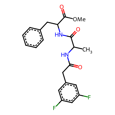 COC(=O)C(Cc1ccccc1)NC(=O)C(C)NC(=O)Cc1cc(F)cc(F)c1